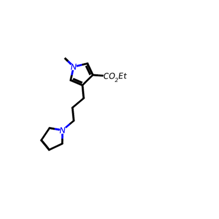 CCOC(=O)c1cn(C)cc1CCCN1CCCC1